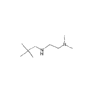 CN(C)CCNCC(C)(C)C